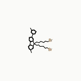 Cc1cccc(-c2ccc3c(c2)C(CCCCCCBr)(CCCCCCBr)c2cc(C)ccc2-3)c1